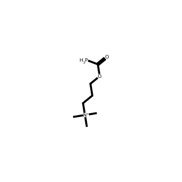 C[N+](C)(C)CCCOC(=O)P